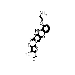 NCCOc1cccc2c1Nc1nc(=S)n([C@@H]3S[C@H](CO)C(O)C3F)cc1S2